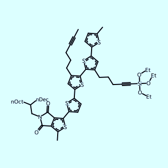 CC#CCCCc1cc(-c2ccc(-c3sc(C)c4c3C(=O)N(CC(CCCCCCCC)CCCCCCCCCC)C4=O)s2)sc1-c1sc(-c2ccc(C)s2)cc1CCCC#C[Si](OCC)(OCC)OCC